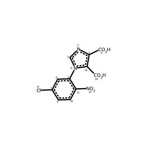 O=C(O)c1ncn(-c2cc(Cl)ccc2[N+](=O)[O-])c1C(=O)O